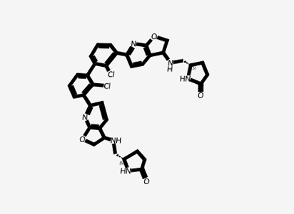 O=C1CC[C@@H](CNC2COc3nc(-c4cccc(-c5cccc(-c6ccc7c(n6)OCC7NC[C@@H]6CCC(=O)N6)c5Cl)c4Cl)ccc32)N1